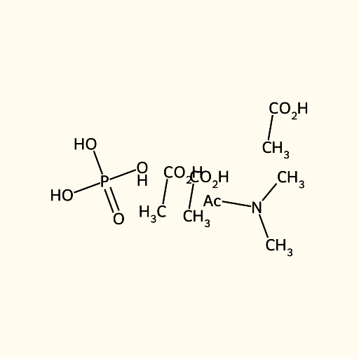 CC(=O)N(C)C.CC(=O)O.CC(=O)O.CC(=O)O.O=P(O)(O)O